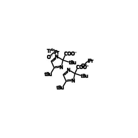 CC(C)(C)C1=NC(C(=O)[O-])(C(C)(C)C)N=C1.CC(C)(C)C1=NC(C(=O)[O-])(C(C)(C)C)N=C1.CC(C)[O-].CC(C)[O-].[Ti+4]